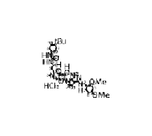 COc1ccc(CNc2ncnc3c2ccn3[C@@H]2O[C@H](CN(C)CCCNC(=O)Nc3ccc(C(C)(C)C)cc3)[C@@H](O)[C@H]2O)c(OC)c1.Cl